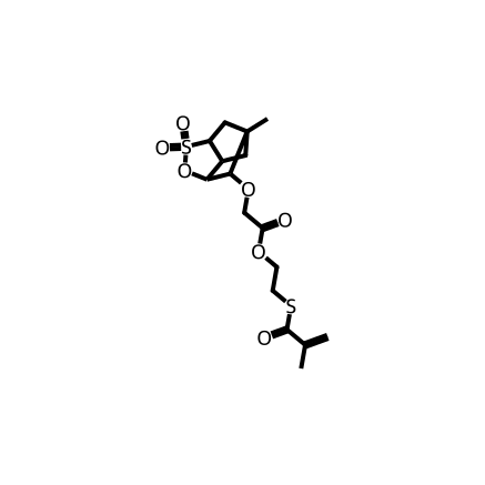 C=C(C)C(=O)SCCOC(=O)COC1C2OS(=O)(=O)C3CC1(C)CC23